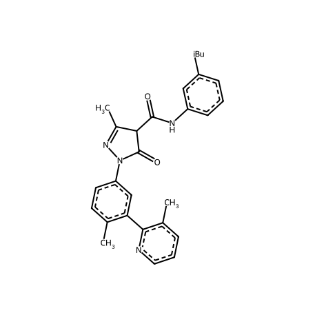 CCC(C)c1cccc(NC(=O)C2C(=O)N(c3ccc(C)c(-c4ncccc4C)c3)N=C2C)c1